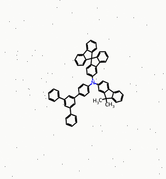 CC1(C)c2ccccc2-c2ccc(N(c3ccc(-c4cc(-c5ccccc5)cc(-c5ccccc5)c4)cc3)c3ccc4c(c3)-c3ccccc3C43c4ccccc4-c4ccccc43)cc21